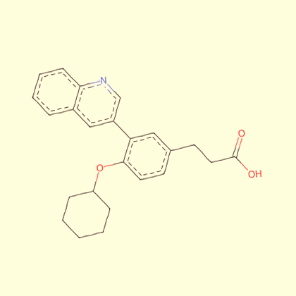 O=C(O)CCc1ccc(OC2CCCCC2)c(-c2cnc3ccccc3c2)c1